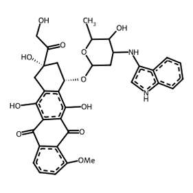 COc1cccc2c1C(=O)c1c(O)c3c(c(O)c1C2=O)C[C@@](O)(C(=O)CO)C[C@@H]3OC1CC(Nc2c[nH]c3ccccc23)C(O)C(C)O1